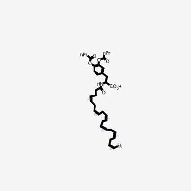 CC/C=C\C/C=C\C/C=C\C/C=C\C/C=C\C/C=C\CCC(=O)NC(Cc1ccc(OC(=O)CCC)c(OC(=O)CCC)c1)C(=O)O